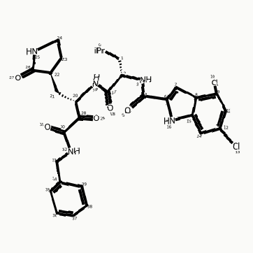 CC(C)C[C@H](NC(=O)c1cc2c(Cl)cc(Cl)cc2[nH]1)C(=O)N[C@@H](C[C@@H]1CCNC1=O)C(=O)C(=O)NCc1ccccc1